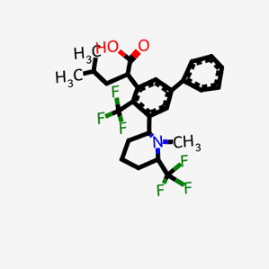 CC(C)CC(C(=O)O)c1cc(-c2ccccc2)cc(C2CCCC(C(F)(F)F)N2C)c1C(F)(F)F